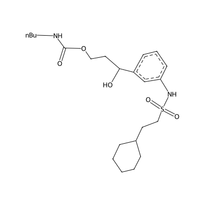 CCCCNC(=O)OCCC(O)c1cccc(NS(=O)(=O)CCC2CCCCC2)c1